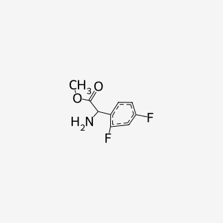 COC(=O)C(N)c1ccc(F)cc1F